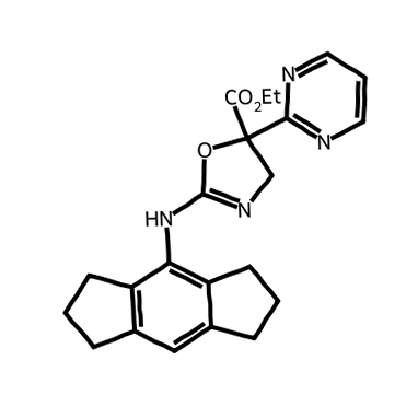 CCOC(=O)C1(c2ncccn2)CN=C(Nc2c3c(cc4c2CCC4)CCC3)O1